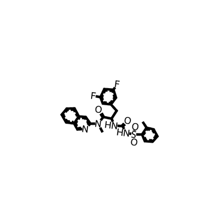 Cc1ccccc1S(=O)(=O)NC(=O)NC(Cc1cc(F)cc(F)c1)C(=O)N(C)c1cc2ccccc2cn1